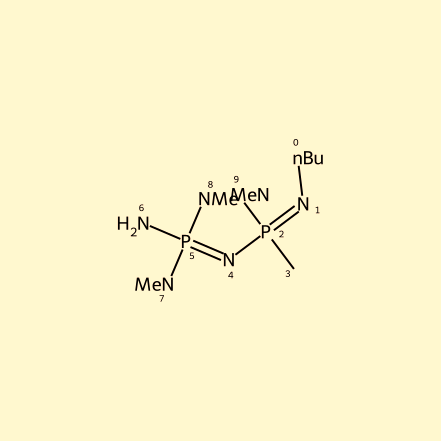 CCCCN=P(C)(N=P(N)(NC)NC)NC